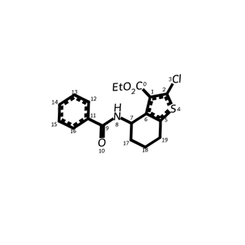 CCOC(=O)c1c(Cl)sc2c1C(NC(=O)c1ccccc1)CCC2